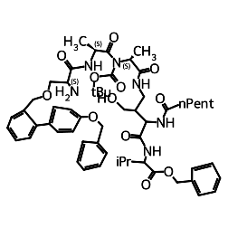 CCCCCC(=O)NC(C(=O)NC(C(=O)OCc1ccccc1)C(C)C)C(CO)CNC(=O)[C@H](C)N(C(=O)OC(C)(C)C)C(=O)[C@H](C)NC(=O)[C@@H](N)COCc1ccccc1-c1ccc(OCc2ccccc2)cc1